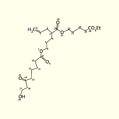 C=CCC(CCCOC(=O)CCCCC(=O)CCO)C(=O)OCCCCC(=O)OCC